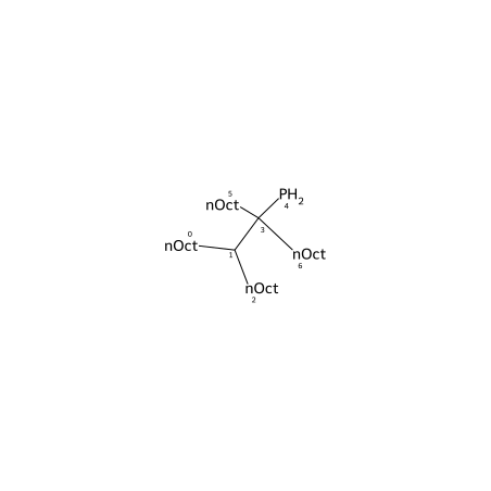 CCCCCCCCC(CCCCCCCC)C(P)(CCCCCCCC)CCCCCCCC